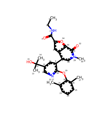 CCNC(=O)c1cc2c(-c3cc(C(C)(C)O)cnc3Oc3c(C)cccc3C)cn(C)c(=O)c2o1